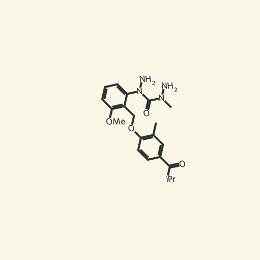 COc1cccc(N(N)C(=O)N(C)N)c1COc1ccc(C(=O)C(C)C)cc1C